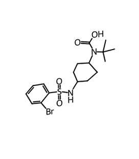 CC(C)(C)N(C(=O)O)C1CCC(NS(=O)(=O)c2ccccc2Br)CC1